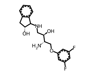 N[C@@H](COc1cc(F)cc(F)c1)[C@H](O)CNC1c2ccccc2C[C@H]1O